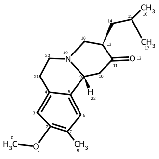 COc1cc2c(cc1C)[C@H]1CC(=O)[C@H](CC(C)C)CN1CC2